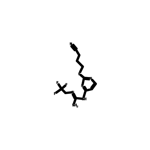 N#CCCCSc1nccc(NC(N)=NCC(F)(F)F)n1